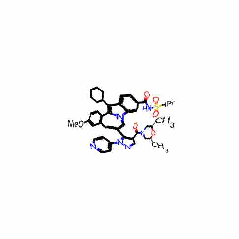 COc1ccc2c(c1)C=C(c1c(C(=O)N3C[C@@H](C)O[C@@H](C)C3)cnn1-c1ccncc1)Cn1c-2c(C2CCCCC2)c2ccc(C(=O)NS(=O)(=O)C(C)C)cc21